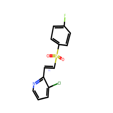 O=S(=O)(/C=C/c1ncccc1Cl)c1ccc(F)cc1